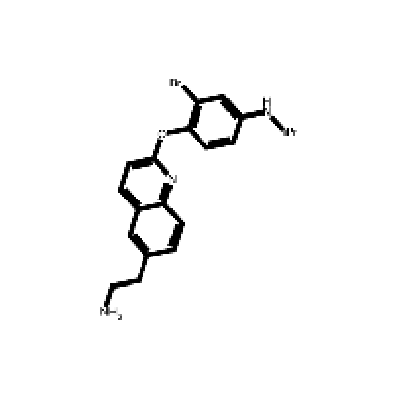 CC(C)Nc1ccc(Oc2ccc3cc(CCN)ccc3n2)c(Br)c1